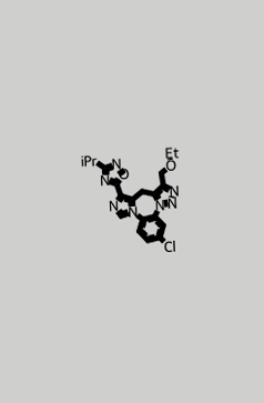 CCOCc1nnn2c1Cc1c(-c3nc(C(C)C)no3)ncn1-c1ccc(Cl)cc1-2